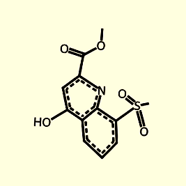 COC(=O)c1cc(O)c2cccc(S(C)(=O)=O)c2n1